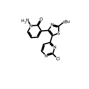 CC(C)(C)c1nc(-c2cccn(N)c2=O)c(-c2ccnc(Cl)n2)s1